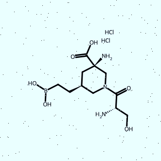 Cl.Cl.N[C@@H](CO)C(=O)N1C[C@@H](CCB(O)O)C[C@](N)(C(=O)O)C1